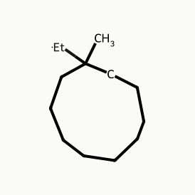 C[CH]C1(C)CCCCCCCCC1